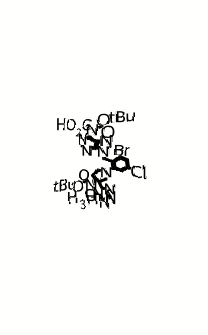 Cn1nnnc1[C@@]1(NC(=O)OC(C)(C)C)CCN(c2cc(Cl)cc(Br)c2Cn2cnc3c(N(C(=O)O)C(=O)OC(C)(C)C)ncnc32)C1